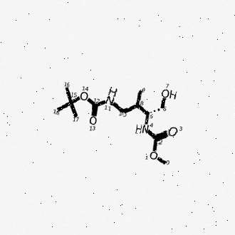 COC(=O)N[C@@H](CO)C(C)CNC(=O)OC(C)(C)C